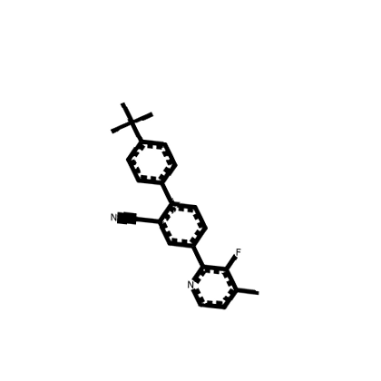 Cc1ccnc(-c2ccc(-c3ccc(C(C)(C)C)cc3)c(C#N)c2)c1F